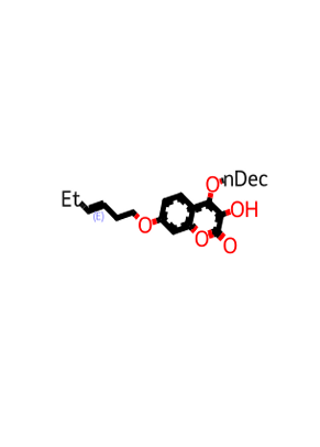 CC/C=C/CCOc1ccc2c(OCCCCCCCCCC)c(O)c(=O)oc2c1